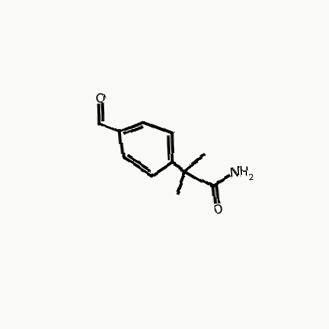 CC(C)(C(N)=O)c1ccc(C=O)cc1